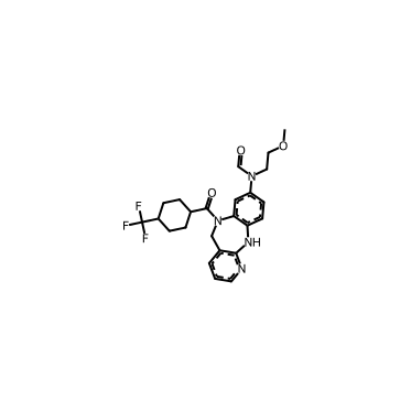 COCCN(C=O)c1ccc2c(c1)N(C(=O)C1CCC(C(F)(F)F)CC1)Cc1cccnc1N2